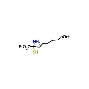 CCCCCCCCCCCCCC(N)(S)C(=O)OCC